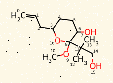 C=CCC1CCC(O)C(OC)(C(C)(C)CO)O1